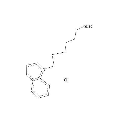 CCCCCCCCCCCCCCCC[n+]1cccc2ccccc21.[Cl-]